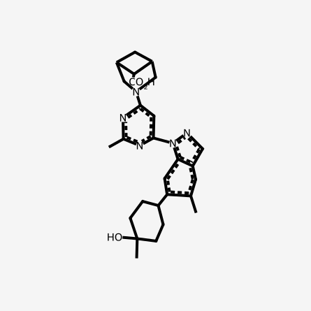 Cc1nc(N2CC3CC(C2)C3C(=O)O)cc(-n2ncc3cc(C)c(C4CCC(C)(O)CC4)cc32)n1